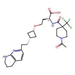 CC(=O)N1CCC(C(=O)N[C@@H](CCO[C@H]2C[C@@H](CCc3ccc4c(n3)NCCC4)C2)C(=O)O)(C(F)(F)F)CC1